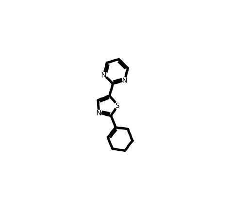 C1=C(c2ncc(-c3ncccn3)s2)CCCC1